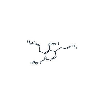 C=CCC1=C(CCCCC)C(CC=C)C=CN1CCCCC